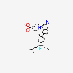 C=C1C=CC([C@@](F)(C/C=C/C(C)C)CCCC)=CC=C1C1=CCC(=C)C(/C(=C\C=N/C)N2CC/C=C(\C(=O)OCC)CCC2)=C1